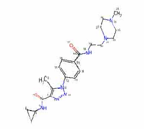 Cc1c(C(=O)NC2CC2)nnn1-c1ccc(C(=O)NCCN2CCN(C)CC2)cc1